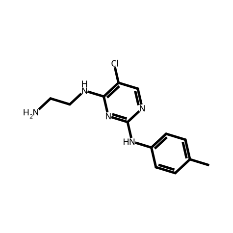 Cc1ccc(Nc2ncc(Cl)c(NCCN)n2)cc1